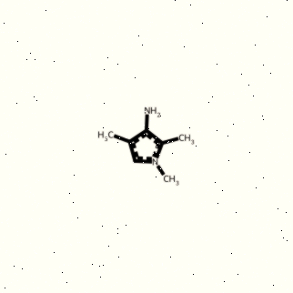 Cc1cn(C)c(C)c1N